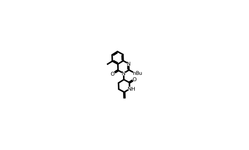 C=C1CCC(n2c(CCCC)nc3cccc(C)c3c2=O)C(=O)N1